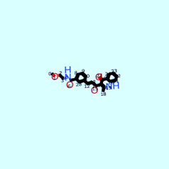 COCCNC(=O)c1cccc(C=CC(=O)c2c(C)[nH]c3ccccc3c2=O)c1